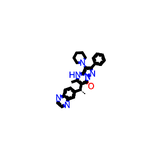 Cc1[nH]c2c(N3CCCCC3)c(-c3ccccc3)nn2c(=O)c1[C@H](C)c1ccc2nccnc2c1